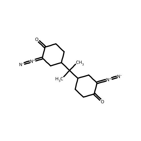 CC(C)(C1CCC(=O)C(=[N+]=[N-])C1)C1CCC(=O)C(=[N+]=[N-])C1